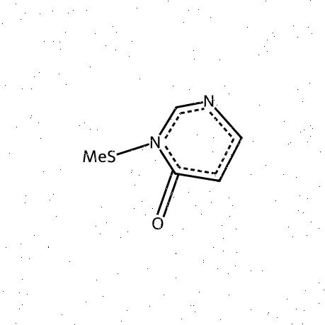 CSn1cnccc1=O